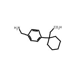 NCc1ccc(C2(CC(=O)O)CCCCC2)cc1